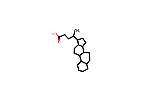 CC(CCC(=O)O)C1CCC2C1CCC1C3CCCCC3CCC12